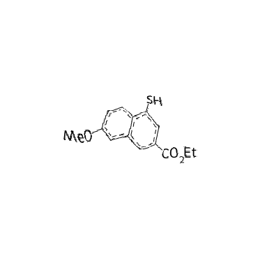 CCOC(=O)c1cc(S)c2ccc(OC)cc2c1